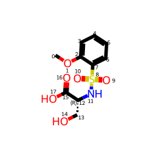 COc1ccccc1S(=O)(=O)N[C@H](CO)C(=O)O